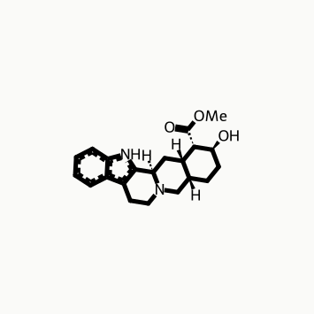 COC(=O)[C@H]1[C@H]2C[C@@H]3c4[nH]c5ccccc5c4CCN3C[C@H]2CC[C@@H]1O